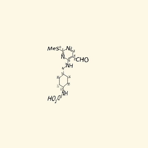 CSc1ncc(C=O)c(NCC2CCC(NC(=O)O)CC2)n1